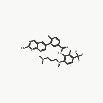 Cc1ccc(C(=O)Nc2c(N(C)CCCN(C)C)ccc(C(F)(F)F)c2C)cc1-c1ccc2nc(N)ncc2c1